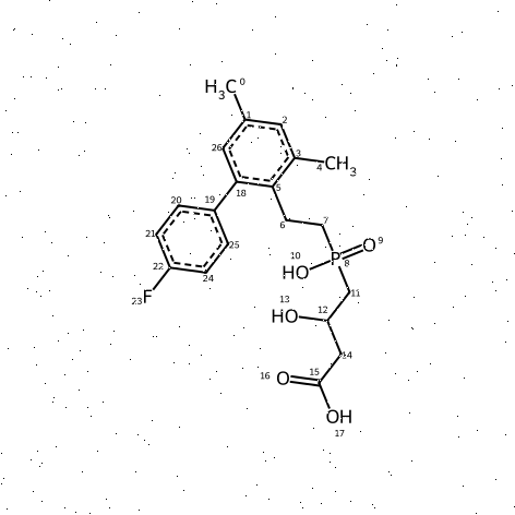 Cc1cc(C)c(CCP(=O)(O)CC(O)CC(=O)O)c(-c2ccc(F)cc2)c1